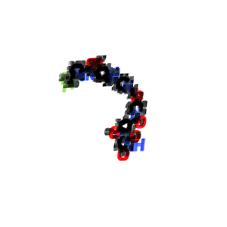 COc1ccc(C(=O)N2CCC(OCCN3CCC(n4cc5c(n4)CC(OC)C(NC(=O)c4cccc(C(F)(F)F)n4)=C5)CC3)CC2)cc1N1CCC(=O)NC1=O